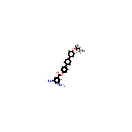 CC(C)(C)CC(C)(C)OC1CCC(C2CCC(c3ccc(OC(=O)c4cc(N)cc(N)c4)cc3)CC2)CC1